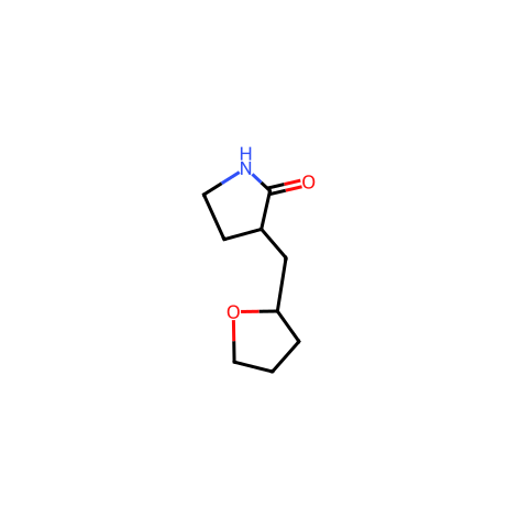 O=C1NCCC1CC1CCCO1